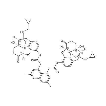 Cc1cc(CC(=O)Oc2ccc3c4c2O[C@H]2C(=O)CC[C@@]5(O)[C@@H](C3)C(CC3CC3)CC[C@]425)c2c(CC(=O)Oc3ccc4c5c3O[C@H]3C(=O)CC[C@@]6(O)[C@@H](C4)C(NCC4CC4)CC[C@]536)cc(C)cc2c1